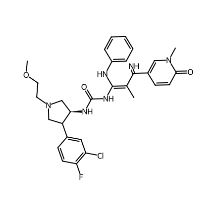 COCCN1CC(c2ccc(F)c(Cl)c2)[C@H](NC(=O)N/C(Nc2ccccc2)=C(\C)C(=N)c2ccc(=O)n(C)c2)C1